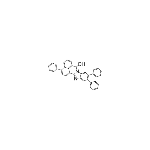 OC1c2cccc3c(-c4ccccc4)ccc(c23)-c2nc3cc(-c4ccccc4)c(-c4ccccc4)cc3n21